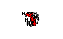 Cc1ccc(N(c2ccc3c(c2)C(C)(C)c2ccccc2-3)c2ccc3c(c2)C(C)(C)c2cc4c(cc2-3)C(C)(C)c2cc(-c3ccc5c(c3)C(C)(C)c3ccccc3-5)c3ccccc3c2-4)cc1